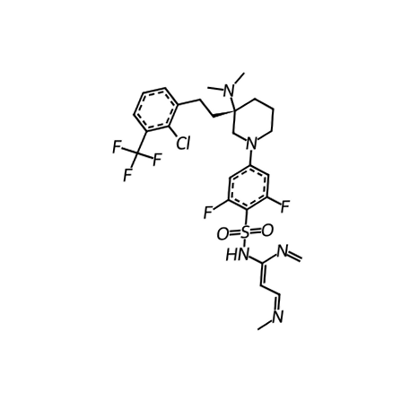 C=N/C(=C\C=N/C)NS(=O)(=O)c1c(F)cc(N2CCC[C@@](CCc3cccc(C(F)(F)F)c3Cl)(N(C)C)C2)cc1F